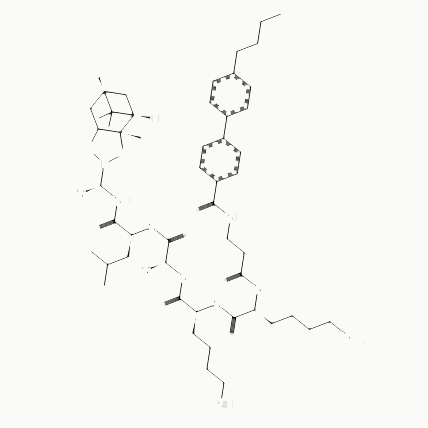 CCCCc1ccc(-c2ccc(C(=O)NCCC(=O)N[C@@H](CCCCN)C(=O)N[C@@H](CCCCN)C(=O)N[C@@H](N)C(=O)N[C@@H](CC(C)C)C(=O)N[C@@H](N)B3OC4C[C@@H]5C[C@@H](C5(C)C)[C@]4(C)O3)cc2)cc1